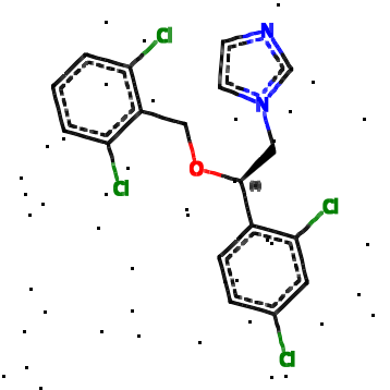 Clc1ccc([C@H](Cn2ccnc2)OCc2c(Cl)cccc2Cl)c(Cl)c1